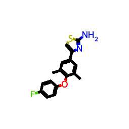 Cc1cc(-c2csc(N)n2)cc(C)c1Oc1ccc(F)cc1